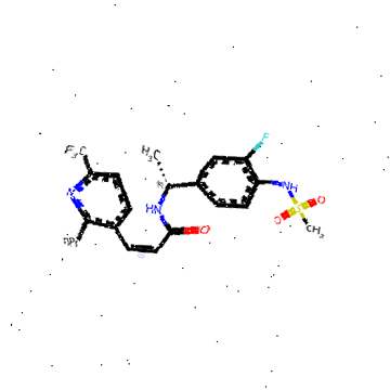 CCCc1nc(C(F)(F)F)ccc1/C=C\C(=O)N[C@H](C)c1ccc(NS(C)(=O)=O)c(F)c1